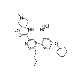 CCCCc1nnc(C(=O)NC2CCN(C)CC2OC)cc1-c1ccc(OC2CCCCC2)cc1.Cl.Cl